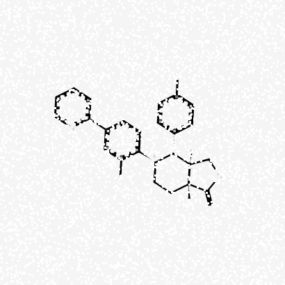 O=C1NC[C@H]2[C@@H](c3ccc(Cl)cc3)[C@H](c3ccc(-c4ccccn4)cc3Cl)CC[C@@H]12